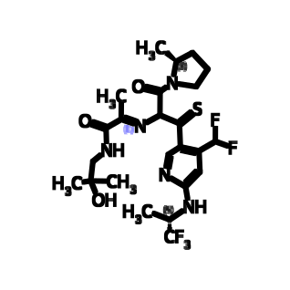 C/C(=N\C(C(=O)N1CCC[C@@H]1C)C(=S)c1cnc(N[C@@H](C)C(F)(F)F)cc1C(F)F)C(=O)NCC(C)(C)O